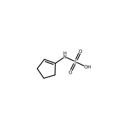 O=S(=O)(O)NC1=CCCC1